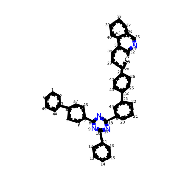 c1ccc(-c2ccc(-c3nc(-c4ccccc4)nc(-c4cccc(-c5ccc(-c6ccc7c(c6)ncc6ccccc67)cc5)c4)n3)cc2)cc1